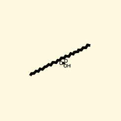 CCCCCCCCCCCCCCC(CCCCCCCCCCCCCC)OC(=O)O